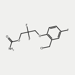 NC(=O)OCC(F)(F)COc1ccc(F)cc1CCl